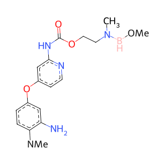 CNc1ccc(Oc2ccnc(NC(=O)OCCN(C)BOC)c2)cc1N